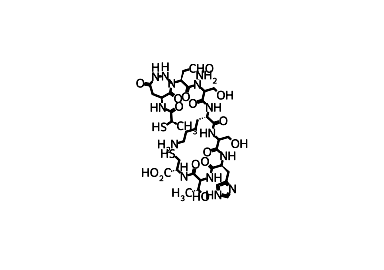 C[C@@H](S)C(=O)N[C@H]1CC(=O)NNN([C@@H](CC=O)C(=O)N(N)C(CO)C(=O)N[C@@H](CCCCN)C(=O)NC(CO)C(=O)N[C@@H](Cc2c[nH]cn2)C(=O)NC(C(=O)N[C@@H](CS)C(=O)O)[C@@H](C)O)C1=O